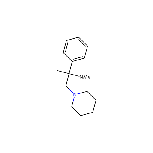 CNC(C)(CN1CCCCC1)c1ccccc1